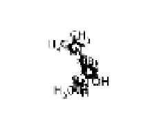 Br.CNC(=O)Nc1cc(CCN2CC(C)C(C)C2)ccc1O